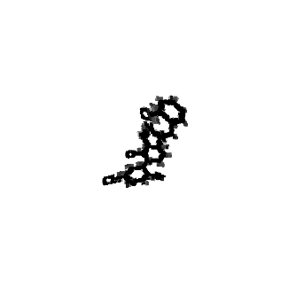 O=c1c2cnn(Cc3ccccc3Cl)c2ccn1-c1cc(Cl)ncc1Br